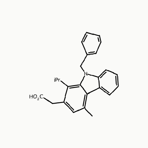 Cc1cc(CC(=O)O)c(C(C)C)c2c1c1ccccc1n2Cc1ccccc1